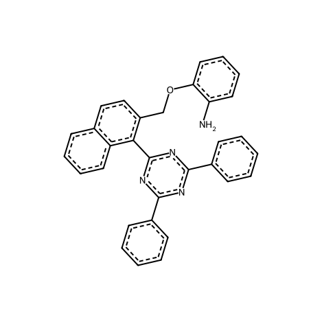 Nc1ccccc1OCc1ccc2ccccc2c1-c1nc(-c2ccccc2)nc(-c2ccccc2)n1